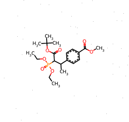 CCOP(=O)(OCC)C(C(=O)OC(C)(C)C)C(C)c1ccc(C(=O)OC)cc1